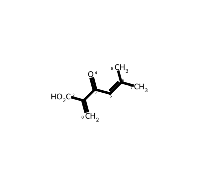 C=C(C(=O)O)C(=O)C=C(C)C